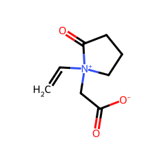 C=C[N+]1(CC(=O)[O-])CCCC1=O